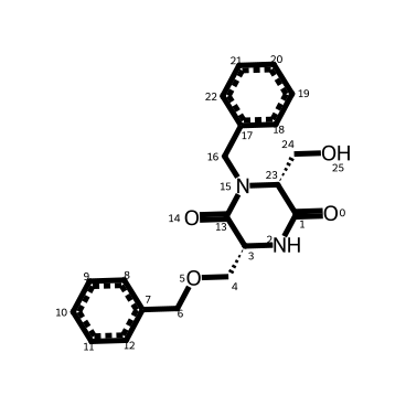 O=C1N[C@H](COCc2ccccc2)C(=O)N(Cc2ccccc2)[C@@H]1CO